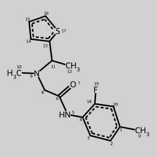 Cc1ccc(NC(=O)CN(C)C(C)c2cccs2)c(F)c1